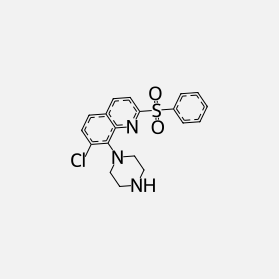 O=S(=O)(c1ccccc1)c1ccc2ccc(Cl)c(N3CCNCC3)c2n1